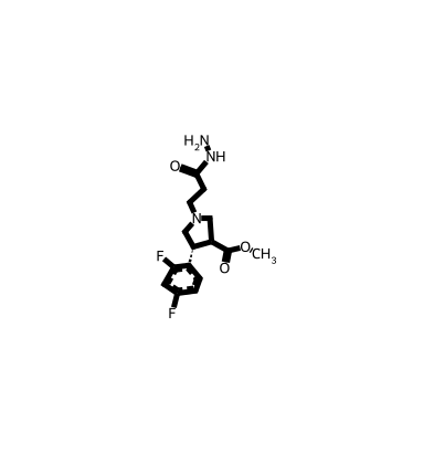 COC(=O)C1CN(CCC(=O)NN)C[C@H]1c1ccc(F)cc1F